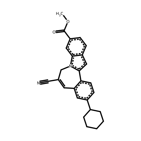 COC(=O)c1ccc2cc3n(c2c1)CC(C#N)=Cc1cc(C2CCCCC2)ccc1-3